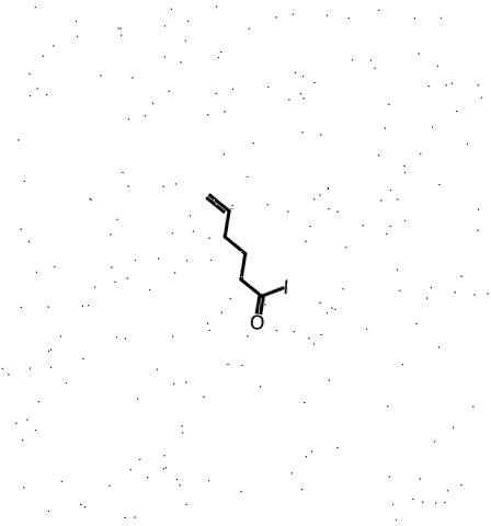 C=CCCCC(=O)I